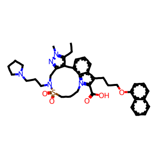 CCc1c2c(nn1C)CN(CCCN1CCCC1)S(=O)(=O)CCCn1c(C(=O)O)c(CCCOc3cccc4ccccc34)c3cccc-2c31